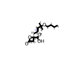 CCCCOC(C)(C)/C=C/C[C@]1(C(=O)O)CC(=O)O1